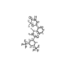 CC(c1nccnc1C1=NNC(=O)C(C)(C)O1)N(C)C(=O)c1cc(C(F)(F)F)cc(C(F)(F)F)c1